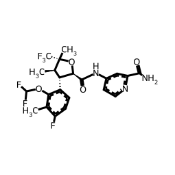 Cc1c(F)ccc([C@@H]2[C@@H](C)[C@](C)(C(F)(F)F)O[C@H]2C(=O)Nc2ccnc(C(N)=O)c2)c1OC(F)F